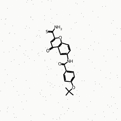 CC(C)(C)Oc1ccc(C(=O)Nc2ccc3oc(C(N)=S)cc(=O)c3c2)cc1